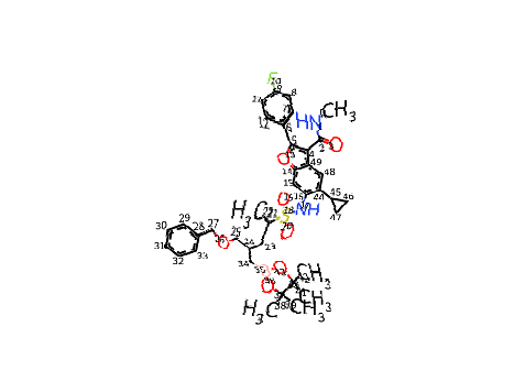 CNC(=O)c1c(-c2ccc(F)cc2)oc2cc(NS(=O)(=O)C(C)CC(COCc3ccccc3)CB3OC(C)(C)C(C)(C)O3)c(C3CC3)cc12